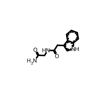 NC(=O)CNC(=O)Cc1c[nH]c2ccccc12